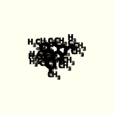 Cc1ccc(C(c2ccc(C)cc2C(C)(C)C)c2c(C(C)(C)C)cc(C(C)(C)C)cc2C(C)(C)C)c(C(C)(C)C)c1